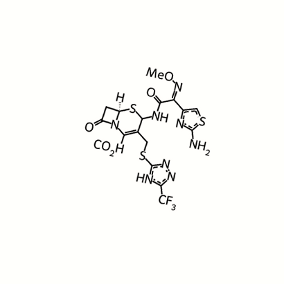 CO/N=C(\C(=O)NC1S[C@@H]2CC(=O)N2C(C(=O)O)=C1CSc1nnc(C(F)(F)F)[nH]1)c1csc(N)n1